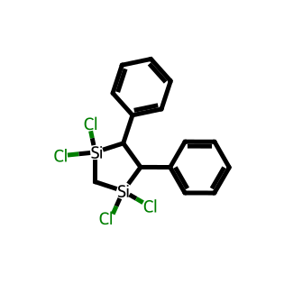 Cl[Si]1(Cl)C[Si](Cl)(Cl)C(c2ccccc2)C1c1ccccc1